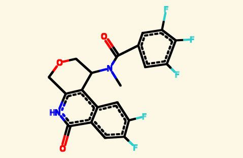 CN(C(=O)c1cc(F)c(F)c(F)c1)C1COCc2[nH]c(=O)c3cc(F)c(F)cc3c21